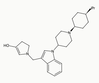 CC(C)[C@H]1CC[C@@H](N2CCC(n3cc(CN4C=C(O)CC4)c4ccccc43)CC2)CC1